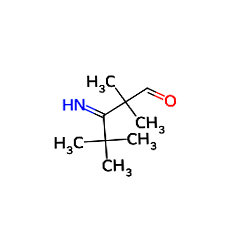 CC(C)(C)C(=N)C(C)(C)C=O